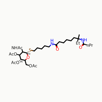 CCCC(=O)NC(C)(CC)CCCCCC(=O)NCCCCCS[C@@H]1OC(COC(C)=O)[C@H](OC(C)=O)C(OC(C)=O)C1NC(C)=O